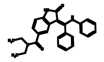 CCN(CC)C(=O)c1ccc2c(c1)/C(=C(/Nc1ccccc1)c1ccccc1)C(=O)N2